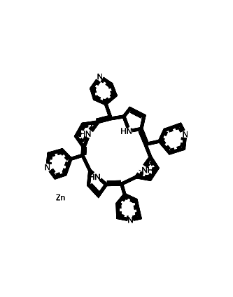 C1=CC2N/C1=C(/c1ccncc1)c1ccc([nH]1)/C(c1ccncc1)=C1/C=CC(N1)/C(c1ccncc1)=c1/cc/c([nH]1)=C/2c1ccncc1.[Zn]